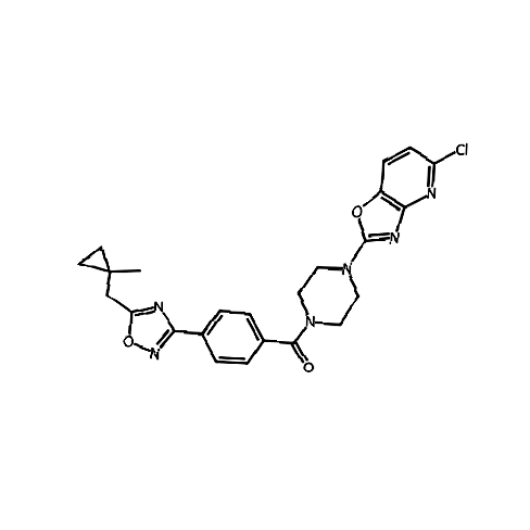 CC1(Cc2nc(-c3ccc(C(=O)N4CCN(c5nc6nc(Cl)ccc6o5)CC4)cc3)no2)CC1